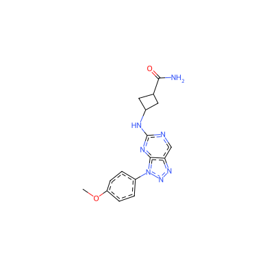 COc1ccc(-n2nnc3cnc(NC4CC(C(N)=O)C4)nc32)cc1